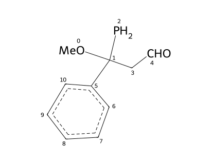 COC(P)(CC=O)c1ccccc1